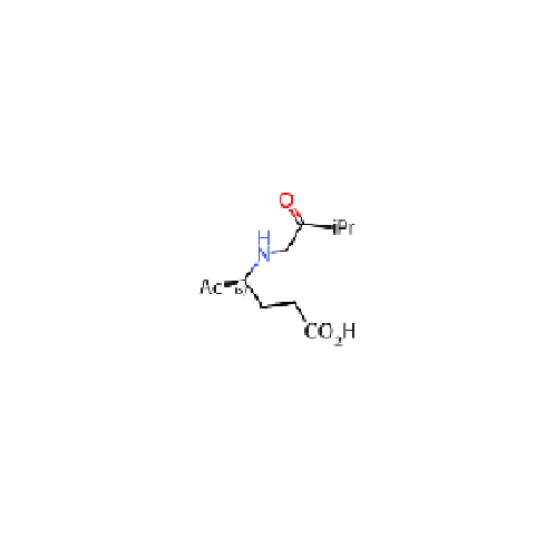 CC(=O)[C@H](CCC(=O)O)NCC(=O)C(C)C